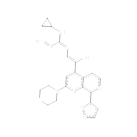 C=N/C(=N\C=C(/C)c1cc(N2CCOCC2)nc2c(-c3ccn[nH]3)nccc12)NC1CC1